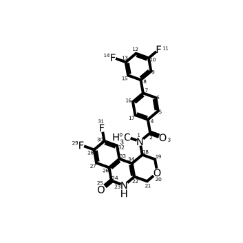 CN(C(=O)c1ccc(-c2cc(F)cc(F)c2)cc1)C1COCc2[nH]c(=O)c3cc(F)c(F)cc3c21